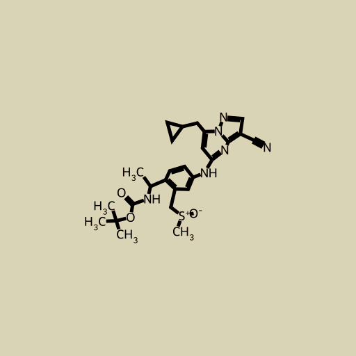 CC(NC(=O)OC(C)(C)C)c1ccc(Nc2cc(CC3CC3)n3ncc(C#N)c3n2)cc1C[S+](C)[O-]